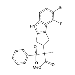 COC(=O)C(F)(C1Cc2[nH]c3ccc(Br)c(F)c3c2C1)S(=O)(=O)c1ccccc1